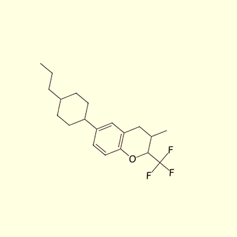 CCCC1CCC(c2ccc3c(c2)CC(C)C(C(F)(F)F)O3)CC1